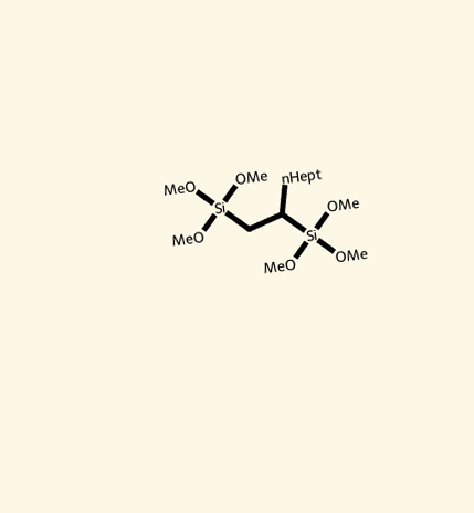 CCCCCCCC(C[Si](OC)(OC)OC)[Si](OC)(OC)OC